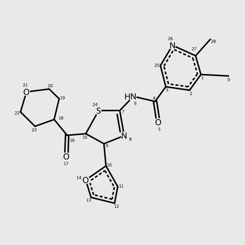 Cc1cc(C(=O)NC2=NC(c3ccco3)C(C(=O)C3CCOCC3)S2)cnc1C